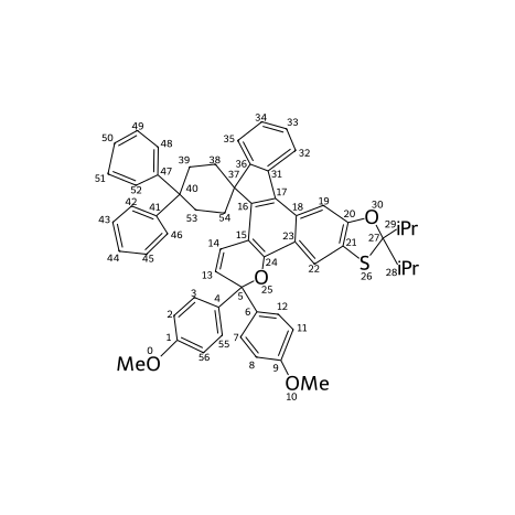 COc1ccc(C2(c3ccc(OC)cc3)C=Cc3c4c(c5cc6c(cc5c3O2)SC(C(C)C)(C(C)C)O6)-c2ccccc2C42CCC(c3ccccc3)(c3ccccc3)CC2)cc1